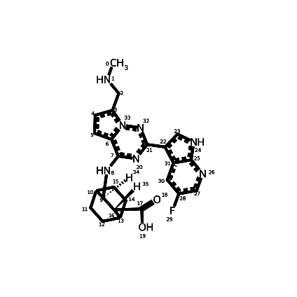 CNCc1ccc2c(N[C@@H]3C4CCC(CC4)[C@H]3C(=O)O)nc(-c3c[nH]c4ncc(F)cc34)nn12